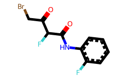 O=C(CBr)C(F)C(=O)Nc1ccccc1F